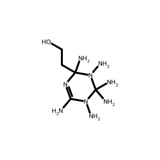 NC1=NC(N)(CCO)N(N)C(N)(N)N1N